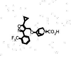 O=C(O)N1CC2CC1CC2OCc1c(-c2ccccc2C(F)(F)F)noc1C1CC1